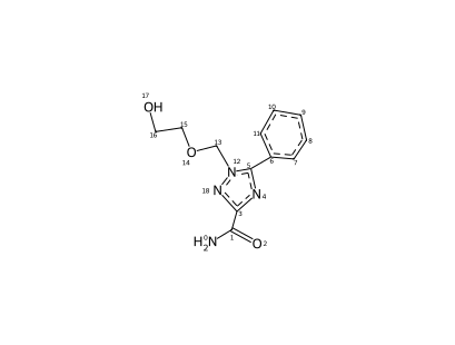 NC(=O)c1nc(-c2ccccc2)n(COCCO)n1